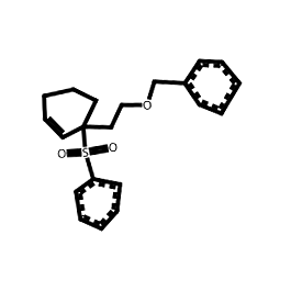 O=S(=O)(c1ccccc1)C1(CCOCc2ccccc2)C=CCCC1